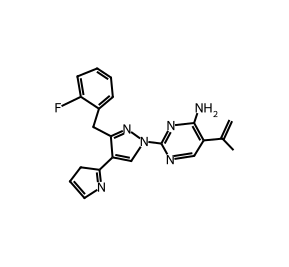 C=C(C)c1cnc(-n2cc(C3=NC=CC3)c(Cc3ccccc3F)n2)nc1N